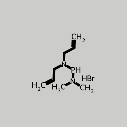 Br.C=CCN(CC=C)PN(C)C